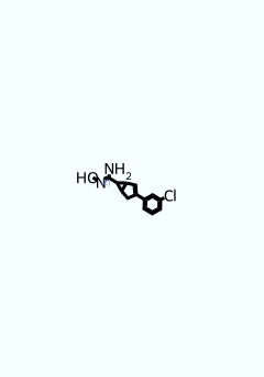 N/C(=N\O)C1C2C=C(c3cccc(Cl)c3)CC21